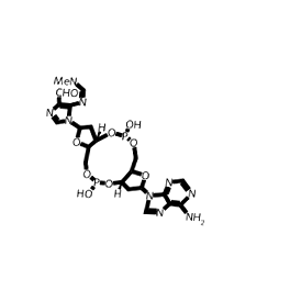 CN/C=N\c1c(C=O)ncn1C1C[C@@H]2OP(O)OCC3OC(n4cnc5c(N)ncnc54)C[C@@H]3OP(O)OCC2O1